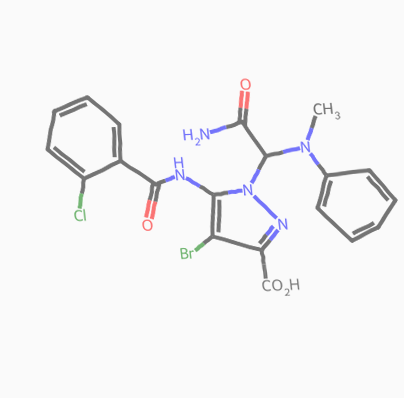 CN(c1ccccc1)C(C(N)=O)n1nc(C(=O)O)c(Br)c1NC(=O)c1ccccc1Cl